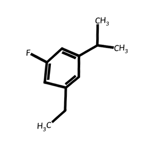 CCc1cc(F)cc(C(C)C)c1